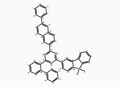 C[Si]1(C)c2ccccc2-c2cc(-c3nc(-c4ccc5cc(-c6ccccc6)ccc5c4)nc(-c4ccccc4-c4ccccc4)n3)ccc21